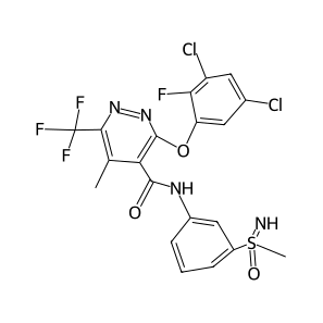 Cc1c(C(F)(F)F)nnc(Oc2cc(Cl)cc(Cl)c2F)c1C(=O)Nc1cccc(S(C)(=N)=O)c1